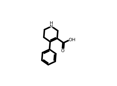 O=C(O)C1=C(c2ccccc2)CCNC1